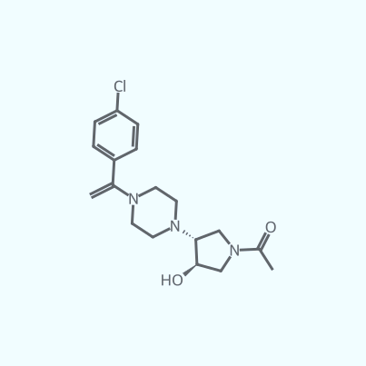 C=C(c1ccc(Cl)cc1)N1CCN([C@@H]2CN(C(C)=O)C[C@H]2O)CC1